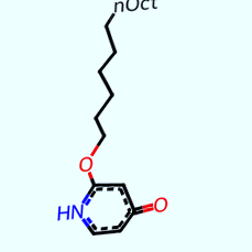 CCCCCCCCCCCCCCOc1cc(=O)cc[nH]1